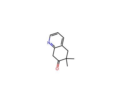 CC1(C)Cc2cccnc2CC1=O